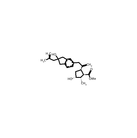 C=C(C)CC1(O)Cc2ccc(CC(=C)[C@@H]3C[C@@H](O)[C@@H](C)[C@@H]3C(=O)OC)cc2C1